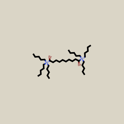 CCCCC[N+](CCCCC)(CCCCC)C(Br)CCCCCCCCC(Br)[N+](CCCCC)(CCCCC)CCCCC